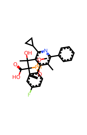 C=CC(C(=O)O)([PH](=O)OC)C(C)(O)c1c(C2CC2)nc(-c2ccccc2)c(C)c1-c1ccc(F)cc1